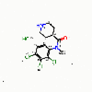 CCN(C(=O)C1CCNCC1)c1ccc(Cl)c(Cl)c1Cl.Cl